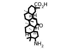 CC1(C)C(N)CC[C@]2(C)[C@H]3C(=O)C=C4[C@@H]5C[C@@](C)(C(=O)O)CC[C@]5(C)CC[C@@]4(C)[C@]3(C)CC[C@@H]12